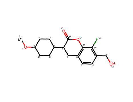 CCOC1CCC(C2Cc3ccc(CO)c(F)c3OC2=O)CC1